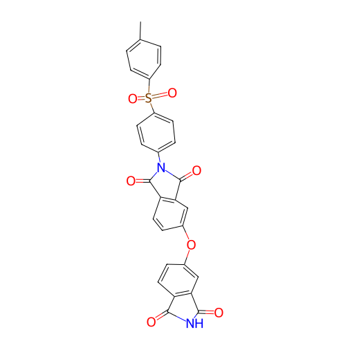 Cc1ccc(S(=O)(=O)c2ccc(N3C(=O)c4ccc(Oc5ccc6c(c5)C(=O)NC6=O)cc4C3=O)cc2)cc1